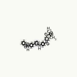 Cc1noc(C)c1C(=O)N1CCN(C(=O)c2ccc(Nc3nccc(-c4ccc(NS(=O)(=O)c5ccccc5)cc4)n3)cc2)CC1